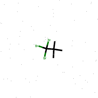 CC(C)(C)C(Br)(Br)Br